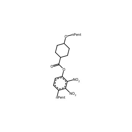 CCCCCOC1CCC(C(=O)Oc2ccc(CCCCC)c([N+](=O)[O-])c2[N+](=O)[O-])CC1